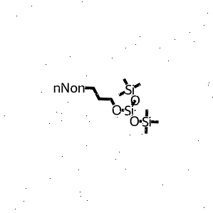 CCCCCCCCCCCCO[Si](O[Si](C)(C)C)O[Si](C)(C)C